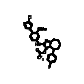 COc1cc(NC2=NN3CCCCC(c4ccc(F)cc4)C3N2OC(=O)C(F)(F)F)ccc1-n1cnc(Cl)c1